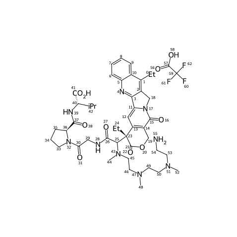 CCc1c2c(nc3ccccc13)-c1cc3c(c(=O)n1C2)COC(=O)[C@]3(CC)C(C(=O)NCC(=O)N1CCC[C@H]1C(=O)N[C@H](C(=O)O)C(C)C)N(C)CCN(C)CCN(C)CCN.O=C(O)C(F)(F)F